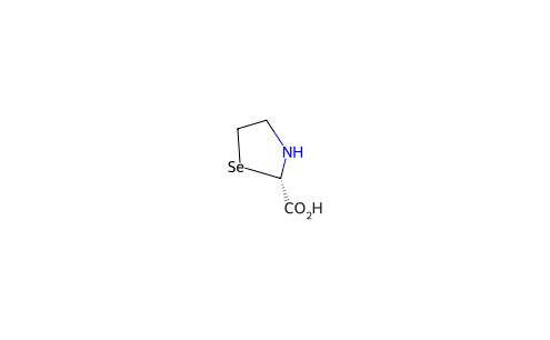 O=C(O)[C@H]1NCC[Se]1